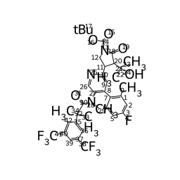 Cc1cc(F)ccc1-c1cc(C2CN(C(=O)OC(C)(C)C)C(=O)C2C(C)(C)O)ncc1N(C)C(=O)C(C)(C)c1cc(C(F)(F)F)cc(C(F)(F)F)c1